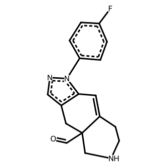 O=CC12CNCCC1=Cc1c(cnn1-c1ccc(F)cc1)C2